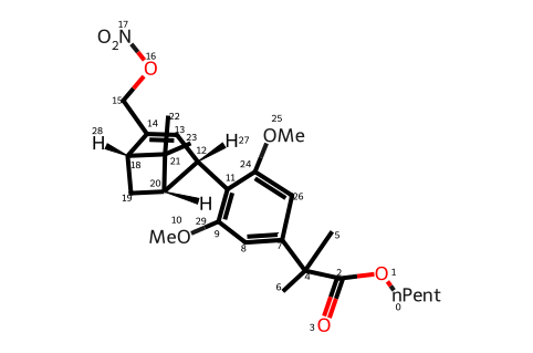 CCCCCOC(=O)C(C)(C)c1cc(OC)c([C@H]2C=C(CO[N+](=O)[O-])[C@H]3C[C@@H]2C3(C)C)c(OC)c1